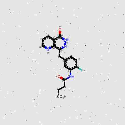 O=C(O)CCC(=O)Nc1cc(Cc2n[nH]c(=O)c3cccnc23)ccc1F